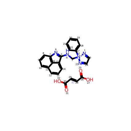 C1=N[N+](CNC2=Nc3cccc4cccc2c34)(c2ccccc2)N=C1.O=C(O)/C=C/C(=O)O